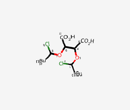 CCCCC(Cl)OC(C(=O)O)C(OC(Cl)CCCC)C(=O)O